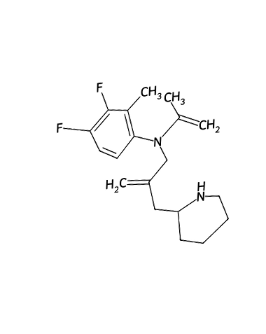 C=C(CC1CCCCN1)CN(C(=C)C)c1ccc(F)c(F)c1C